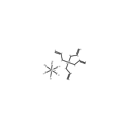 C=CC[N+](CC=C)(CC=C)CC=C.F[P-](F)(F)(F)(F)F